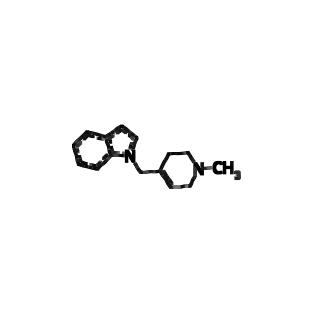 CN1CC=C(Cn2ccc3ccccc32)CC1